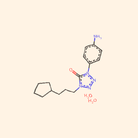 Nc1ccc(-n2nnn(CCCC3CCCC3)c2=O)cc1.O.O